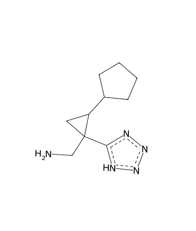 NCC1(c2nnn[nH]2)CC1C1CCCC1